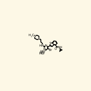 CN1CCN(CCCNc2ncc(Br)c(-c3cc4c(C(=O)NC5CC5)cccc4s3)n2)CC1.Cl.Cl.Cl